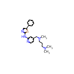 CN(C)CCCN(C)Cc1ccnc(Nc2ncc(-c3ccccc3)s2)c1